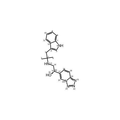 CC(C)(Cc1c[nH]c2ccccc12)NC[C@H](O)c1ccc2nnnn2c1